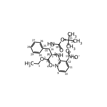 CCOC(=O)[C@H](Nc1ncccc1[N+](=O)[O-])[C@@H](NC(=O)OC(C)(C)C)c1ccccc1